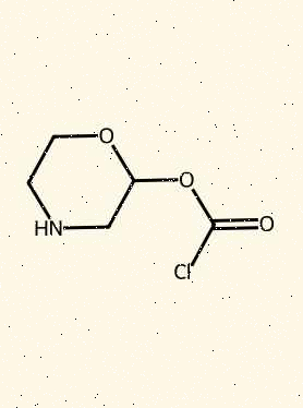 O=C(Cl)OC1CNCCO1